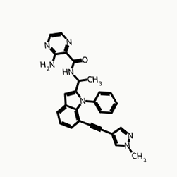 CC(NC(=O)c1nccnc1N)c1cc2cccc(C#Cc3cnn(C)c3)c2n1-c1ccccc1